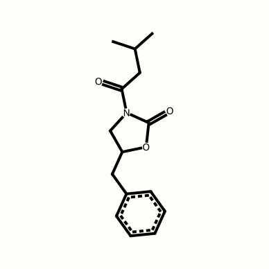 CC(C)CC(=O)N1CC(Cc2ccccc2)OC1=O